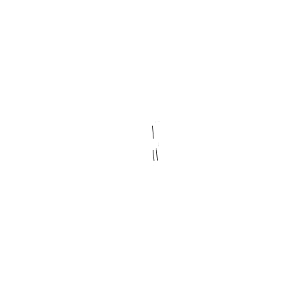 [Cd].[O]=[Hg][TeH]